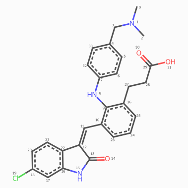 CN(C)Cc1ccc(Nc2c(/C=C3\C(=O)Nc4cc(Cl)ccc43)cccc2CCC(=O)O)cc1